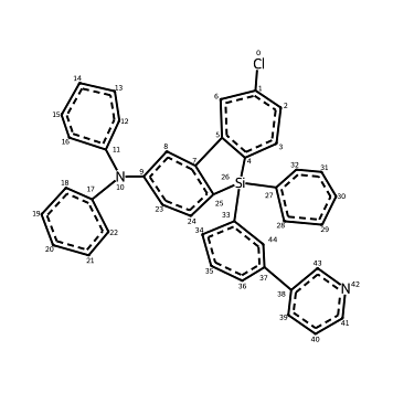 Clc1ccc2c(c1)-c1cc(N(c3ccccc3)c3ccccc3)ccc1[Si]2(c1ccccc1)c1cccc(-c2cccnc2)c1